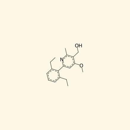 CCc1cccc(CC)c1-c1cc(OC)c(CO)c(C)n1